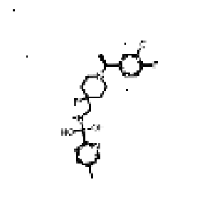 C=C(c1ccc(F)c(Cl)c1)N1CCC(F)(CNC(O)(O)c2ccc(C)cn2)CC1